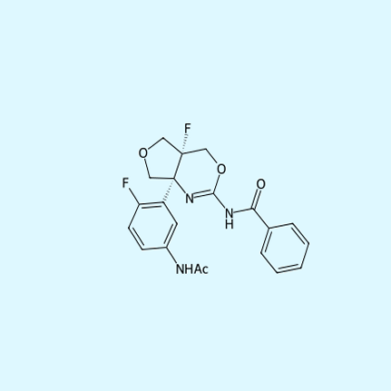 CC(=O)Nc1ccc(F)c([C@]23COC[C@@]2(F)COC(NC(=O)c2ccccc2)=N3)c1